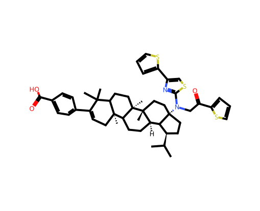 CC(C)[C@@H]1CC[C@]2(N(CC(=O)c3cccs3)c3nc(-c4cccs4)cs3)CC[C@]3(C)[C@H](CCC4[C@@]5(C)CC=C(c6ccc(C(=O)O)cc6)C(C)(C)C5CC[C@]43C)C12